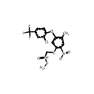 CO[PH](=O)CSc1cc(Oc2ccc(C(F)(F)F)cc2Cl)c(C)cc1[N+](=O)[O-]